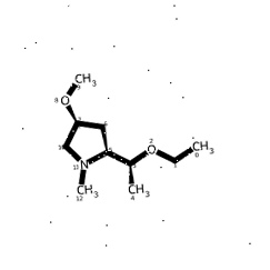 CCO[C@@H](C)[C@@H]1C[C@H](OC)CN1C